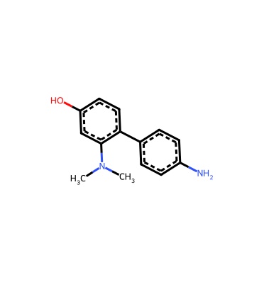 CN(C)c1cc(O)ccc1-c1ccc(N)cc1